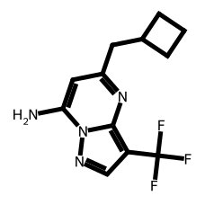 Nc1cc(CC2CCC2)nc2c(C(F)(F)F)cnn12